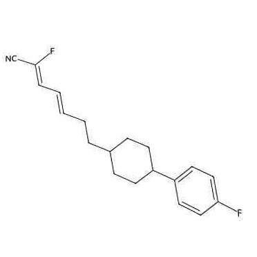 N#CC(F)=CC=CCCC1CCC(c2ccc(F)cc2)CC1